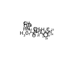 CCC(CNC(=O)OC)C(=O)N(C)C1CC(c2cccc(C3(C)CC3)c2)C1